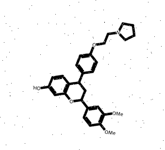 COc1ccc(C2CC(c3ccc(OCCN4CCCC4)cc3)c3ccc(O)cc3O2)cc1OC